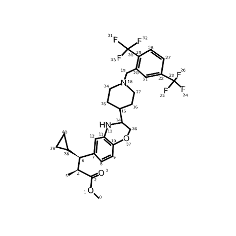 COC(=O)[C@@H](C)[C@H](c1ccc2c(c1)NC(C1CCN(Cc3cc(C(F)(F)F)ccc3C(F)(F)F)CC1)CO2)C1CC1